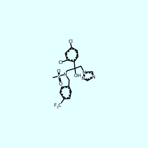 CS(=O)(=O)N(Cc1ccc(C(F)(F)F)cc1)CC(O)(Cn1cncn1)c1ccc(Cl)cc1Cl